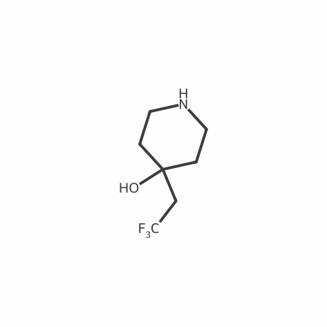 OC1(CC(F)(F)F)CCNCC1